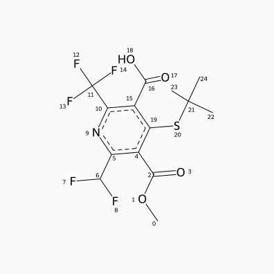 COC(=O)c1c(C(F)F)nc(C(F)(F)F)c(C(=O)O)c1SC(C)(C)C